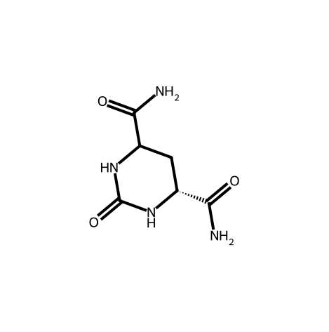 NC(=O)C1C[C@H](C(N)=O)NC(=O)N1